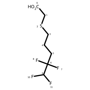 O=C(O)CSCCCC(F)(F)C(F)F